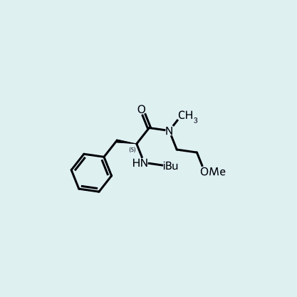 CCC(C)N[C@@H](Cc1ccccc1)C(=O)N(C)CCOC